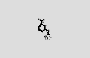 CC(C)(C)OC(=O)Nc1cccc(C(F)F)c1